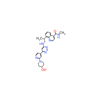 CNC(=O)c1ccnc2c([C@H](C)CNc3cc(-c4ccnc(N5CCC(O)CC5)c4)ncn3)cccc12